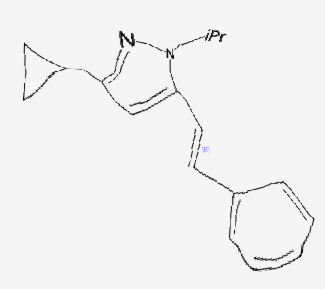 CC(C)n1nc(C2CC2)cc1/C=C/c1ccccc1